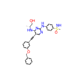 C[C@H](CO)Nc1nc(Nc2ccc(S(C)(=N)=O)cc2)ncc1C#Cc1cccc(OCc2ccccc2)c1